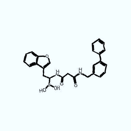 O=C(CC(=O)NC(Cc1coc2ccccc12)B(O)O)NCc1cccc(-c2ccccc2)c1